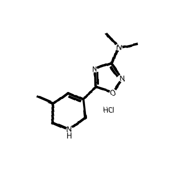 CC1C=C(c2nc(N(C)C)no2)CNC1.Cl